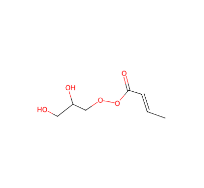 CC=CC(=O)OOCC(O)CO